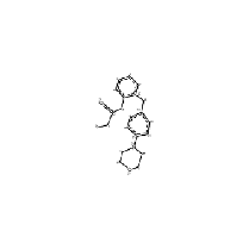 CCC(=O)Cc1ccccc1Cc1ccc(N2CCOCC2)cc1